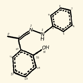 CC(=NNc1ccccc1)c1ccccc1O